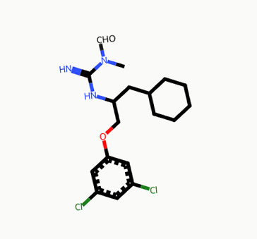 CN(C=O)C(=N)NC(COc1cc(Cl)cc(Cl)c1)CC1CCCCC1